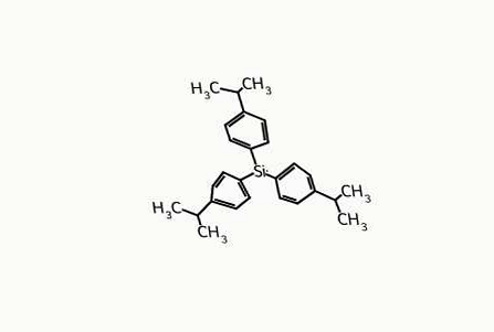 CC(C)c1ccc([Si](c2ccc(C(C)C)cc2)c2ccc(C(C)C)cc2)cc1